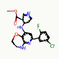 COC(=O)c1cnccc1Nc1cc(-c2cc(Cl)ccc2F)nc2c1OCCN2